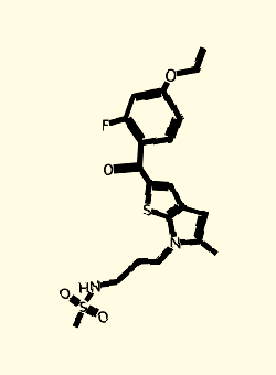 CCOc1ccc(C(=O)c2cc3cc(C)n(CCCNS(C)(=O)=O)c3s2)c(F)c1